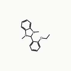 CCOc1ccccc1C1N(C)c2ccccc2N1C